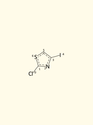 Clc1nc(I)[c]s1